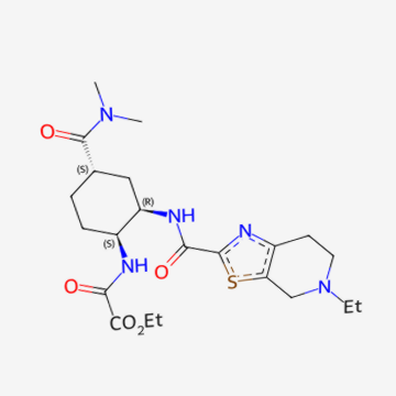 CCOC(=O)C(=O)N[C@H]1CC[C@H](C(=O)N(C)C)C[C@H]1NC(=O)c1nc2c(s1)CN(CC)CC2